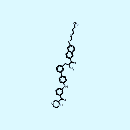 COCCOCOc1ccc2cc(C(=O)N(C)Cc3cccc(-c4ccc(Nc5cccc(C(=O)C6COCCN6)c5)cc4)c3)ccc2c1